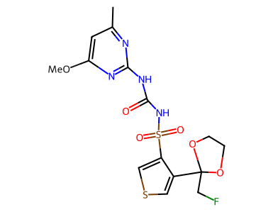 COc1cc(C)nc(NC(=O)NS(=O)(=O)c2cscc2C2(CF)OCCO2)n1